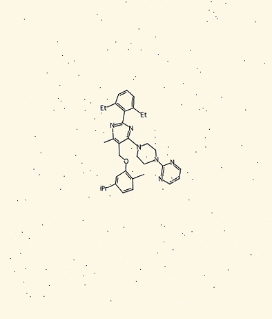 CCc1cccc(CC)c1-c1nc(C)c(COc2cc(C(C)C)ccc2C)c(N2CCN(c3ncccn3)CC2)n1